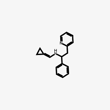 C(NC(Cc1ccccn1)c1ccccc1)=C1CC1